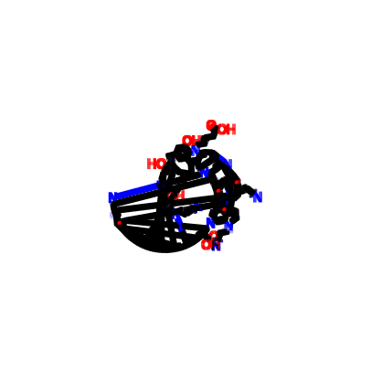 C/C=C\c1c2cn(C/C=C/C#N)c3c4ccc5c6c4cc4c3n-2c2c3c7c8c9c(cc(/N=C\CC#N)c1C92)N=C1C(C(=O)O)=C2/C=C9/C%10=C%11C%12=C%13C%14=C%15/C%16=C\%12C%12=C%10C2=C(/C(=C/7C2=NC7/C%10=C(\C%16)CC%15/C(=C\c%15cc(O)c%16c(c%15)C%10=C%10C(=CC%15=C%17/C(=C\C(/C2=C\34)N7C%10%17)C6C(=N%15)C=C5)N%16C/C=C/CC(=O)O)C(O)=C%14\C=N/C%13=C(O)/C/%11=C/N9/C=C/C#N)C%12)C18